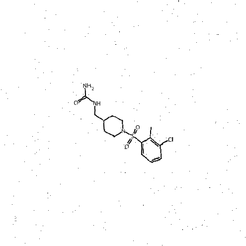 Cc1c(Cl)cccc1S(=O)(=O)N1CCC(CNC(N)=O)CC1